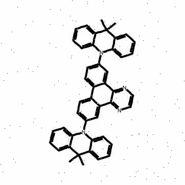 CC1(C)c2ccccc2N(c2ccc3c4ccc(N5c6ccccc6C(C)(C)c6ccccc65)cc4c4nccnc4c3c2)c2ccccc21